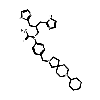 CC(=O)N(CC(Cc1ncc[nH]1)Cc1ncc[nH]1)c1ccc(CN2CCC3(CCN(C4CCCCC4)CC3)C2)cc1